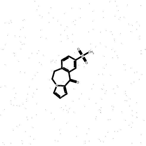 CS(=O)(=O)c1ccc2c(c1)C(=O)c1cccn1CC2